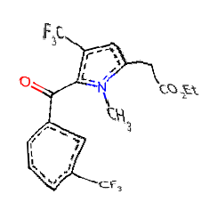 CCOC(=O)Cc1cc(C(F)(F)F)c(C(=O)c2cccc(C(F)(F)F)c2)n1C